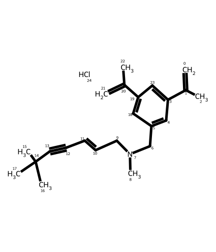 C=C(C)c1cc(CN(C)CC=CC#CC(C)(C)C)cc(C(=C)C)c1.Cl